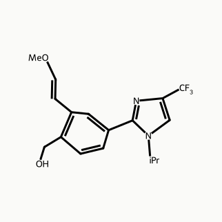 CO/C=C/c1cc(-c2nc(C(F)(F)F)cn2C(C)C)ccc1CO